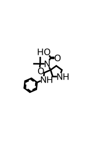 CC(C)(C)N(C(=O)O)C1(C(=O)Nc2ccccc2)CCNC1